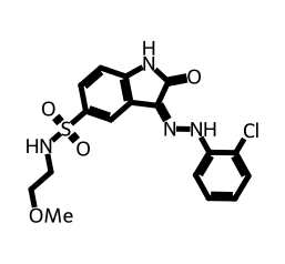 COCCNS(=O)(=O)c1ccc2c(c1)/C(=N/Nc1ccccc1Cl)C(=O)N2